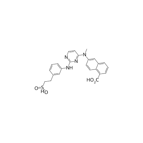 CN(c1ccc2c(C(=O)O)cccc2c1)c1ccnc(Nc2cccc(CC[SH](=O)=O)c2)n1